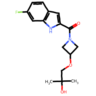 CC(C)(O)COC1CN(C(=O)c2cc3ccc(F)cc3[nH]2)C1